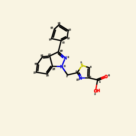 O=C(O)c1csc(Cn2nc(-c3ccccc3)c3ccccc32)n1